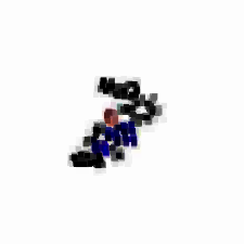 COc1cccc(NC(=O)N2CCN(C(C)(C)C)CC2)c1